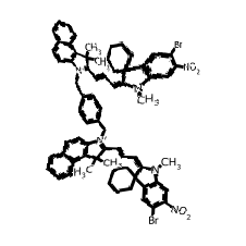 CN1/C(=C/C=C/C2=[N+](Cc3ccc(C[N+]4=C(/C=C/C=C5/N(C)c6cc([N+](=O)[O-])c(Br)cc6C56CCCCC6)C(C)(C)c5c4ccc4ccccc54)cc3)c3ccc4ccccc4c3C2(C)C)C2(CCCCC2)c2cc(Br)c([N+](=O)[O-])cc21